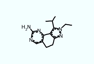 CCn1nc2c(c1C(C)C)-c1nc(N)ncc1CC2